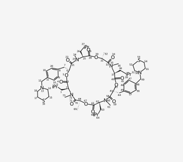 CC(C)C[C@H]1C(=O)O[C@H](Cc2ccc(CN3CCSCC3)cc2)C(=O)N(C)[C@@H](CC(C)C)C(=O)O[C@H](C)C(=O)N(C)[C@@H](CC(C)C)C(=O)O[C@H](Cc2ccc(CN3CCSCC3)cc2)C(=O)N(C)[C@@H](CC(C)C)C(=O)O[C@H](C)C(=O)N1C